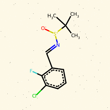 CC(C)(C)[S+]([O-])N=Cc1cccc(Cl)c1F